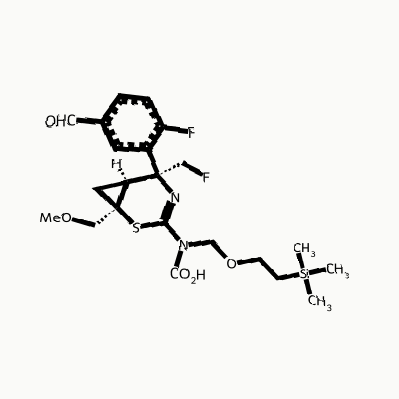 COC[C@]12C[C@H]1[C@@](CF)(c1cc(C=O)ccc1F)N=C(N(COCC[Si](C)(C)C)C(=O)O)S2